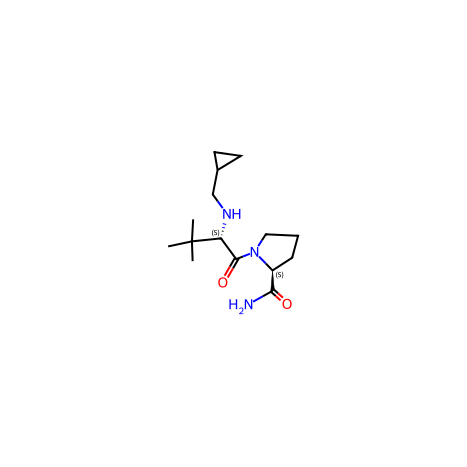 CC(C)(C)[C@H](NCC1CC1)C(=O)N1CCC[C@H]1C(N)=O